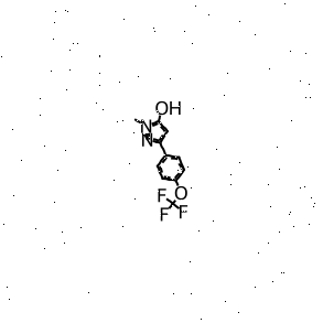 Cn1nc(-c2ccc(OC(F)(F)F)cc2)cc1O